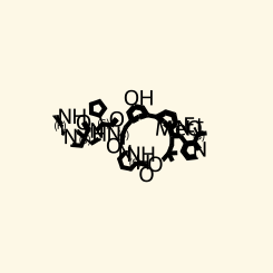 CCn1c(-c2cccnc2[C@H](C)OC)c2c3cc(ccc31)-c1cc(O)cc(c1)C[C@H](NC(=O)[C@H](C1CCCC1)N1CC[C@]3(CCN(C[C@H]4CN4)C3)C1=O)C(=O)N1CCC[C@H](N1)C(=O)OCC(C)(C)C2